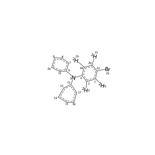 [2H]c1c([2H])c(N(c2ccccc2)c2ccccc2)c([2H])c([2H])c1Br